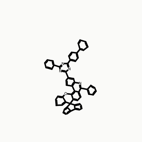 c1ccc(-c2ccc(-c3nc(-c4ccccc4)nc(-c4ccc5c(c4)nc(-c4ccccc4)c4ccc6c(c45)Oc4ccccc4C64c5ccccc5-c5ccccc54)n3)cc2)cc1